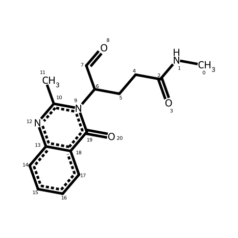 CNC(=O)CCC(C=O)n1c(C)nc2ccccc2c1=O